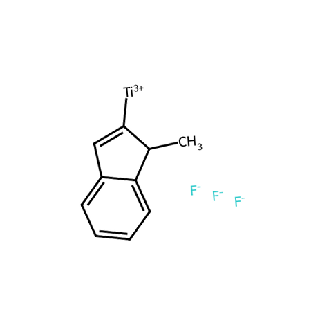 CC1[C]([Ti+3])=Cc2ccccc21.[F-].[F-].[F-]